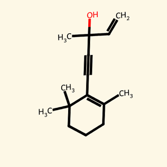 C=CC(C)(O)C#CC1=C(C)CCCC1(C)C